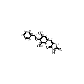 O=C1NC(=S)S/C1=C/c1cc(Cl)c(OCc2ccccc2)c(Cl)c1